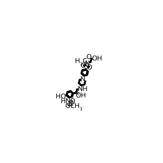 CN(CC(=O)O)S(=O)(=O)c1ccc(N2CCC(NC[C@H](O)c3ccc(O)c(NS(C)(=O)=O)c3)CC2)cc1